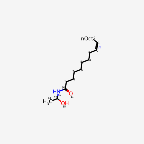 CCCCCCCC/C=C\CCCCCCCC(=O)NC(C)O